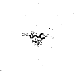 CN1C=CC(C=Cc2ccc(C=O)n2C)=CC1.O=S(=O)(O)C(F)(F)F